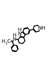 C[C@@H](NC1CCCc2c1[nH]c1ccc(C3=CCNCC3)cc21)c1ccccc1